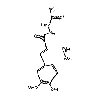 COc1cc(/C=C/C(=O)NNC(=N)N)ccc1O.O=[N+]([O-])O